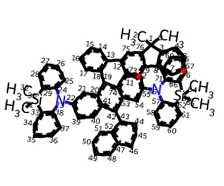 CC1(C)c2ccccc2-c2ccc(-c3ccccc3-c3c4cc(N5c6ccccc6[Si](C)(C)c6ccccc65)ccc4c(-c4cccc5ccccc45)c4cc(N5c6ccccc6[Si](C)(C)c6ccccc65)ccc34)cc21